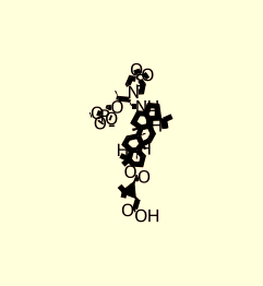 C=C(C)[C@@H]1CC[C@]2(NC[C@H]([C@@H](C)OCP(=O)(OC)OC)N3CCS(=O)(=O)CC3)CC[C@]3(C)[C@H](CC[C@@H]4[C@@]5(C)CC[C@H](OC(=O)[C@H]6[C@@H](CC(=O)O)C6(C)C)C(C)(C)[C@@H]5CC[C@]43C)[C@@H]12